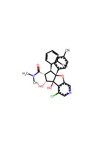 CC1C=CC=CC1[C@@H]1[C@@H](C(=O)N(C)C)[C@@H](O)[C@@]2(O)c3c(Cl)cncc3O[C@@]12c1ccc(C#N)cc1